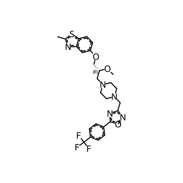 CO[C@@H](COc1ccc2sc(C)nc2c1)CN1CCN(Cc2noc(-c3ccc(C(F)(F)F)cc3)n2)CC1